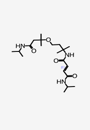 CC(C)NC(=O)/C=C/C(=O)NC(C)(C)CCOC(C)(C)CC(=O)NC(C)C